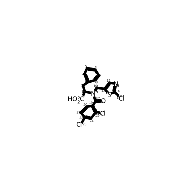 O=C(O)C(Cc1ccccc1)N(Cc1cnc(Cl)s1)C(=O)c1ccc(Cl)cc1Cl